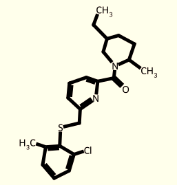 CCC1CCC(C)N(C(=O)c2cccc(CSc3c(C)cccc3Cl)n2)C1